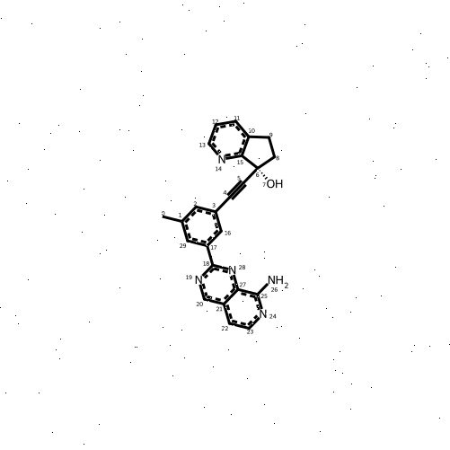 Cc1cc(C#C[C@]2(O)CCc3cccnc32)cc(-c2ncc3ccnc(N)c3n2)c1